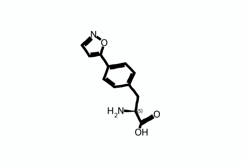 N[C@@H](Cc1ccc(-c2ccno2)cc1)C(=O)O